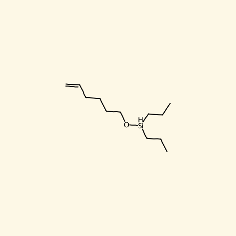 C=CCCCCO[SiH](CCC)CCC